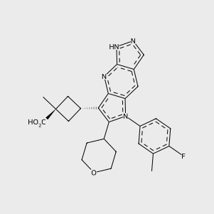 Cc1cc(-n2c(C3CCOCC3)c([C@H]3C[C@](C)(C(=O)O)C3)c3nc4[nH]ncc4cc32)ccc1F